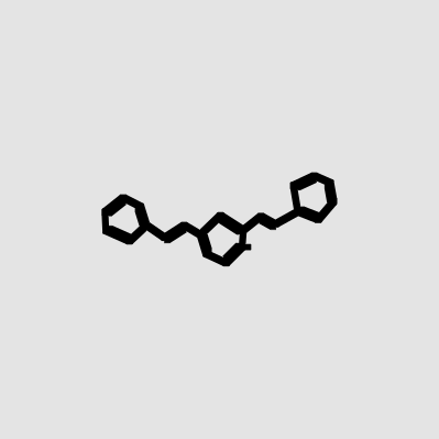 [c]1ccc(/C=C/c2ccccc2)cc1/C=C/c1ccccc1